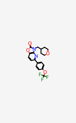 O=c1oc2ccc(-c3ccc(OC(F)(F)F)cc3)nc2n1CC1CCOCC1